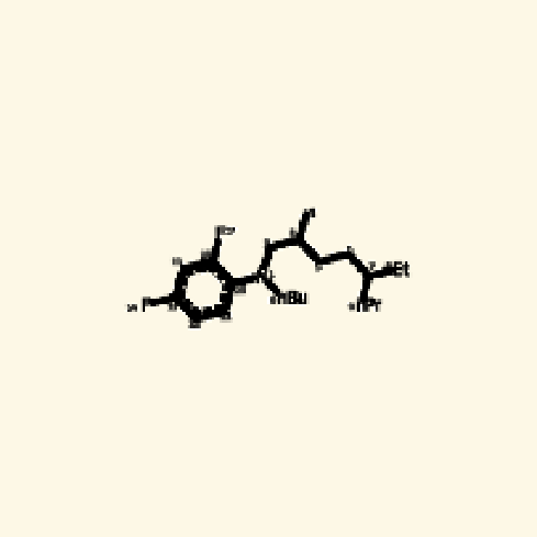 CCCCN(CC(C)CCC(CC)CCC)c1ccc(F)cc1F